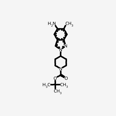 Cc1cc2nn(C3CCN(C(=O)OC(C)(C)C)CC3)cc2cc1N